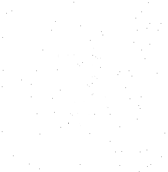 FC(F)(F)c1ccnc([N+]=NC2OCC=C3CNC=C32)n1